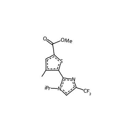 COC(=O)c1cc(C)c(-c2nc(C(F)(F)F)cn2C(C)C)s1